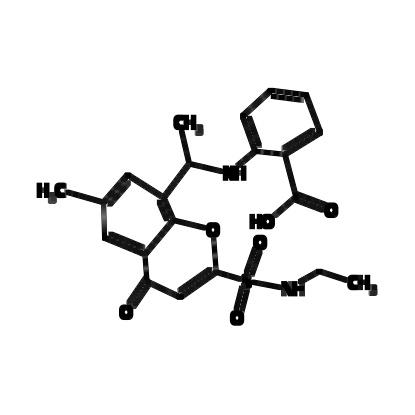 CCNS(=O)(=O)c1cc(=O)c2cc(C)cc(C(C)Nc3ccccc3C(=O)O)c2o1